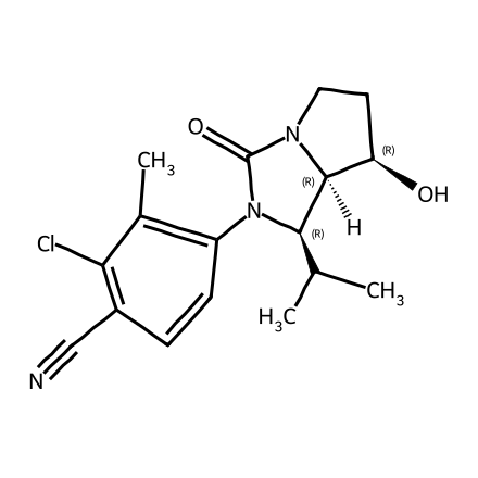 Cc1c(N2C(=O)N3CC[C@@H](O)[C@H]3[C@H]2C(C)C)ccc(C#N)c1Cl